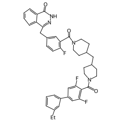 CCc1cccc(-c2cc(F)c(C(=O)N3CCC(CC4CCN(C(=O)c5cc(Cc6n[nH]c(=O)c7ccccc67)ccc5F)CC4)CC3)c(F)c2)c1